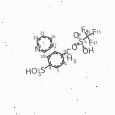 Cc1ccc(S(=O)(=O)O)cc1.O=S(=O)(O)C(F)(F)F.c1ccncc1